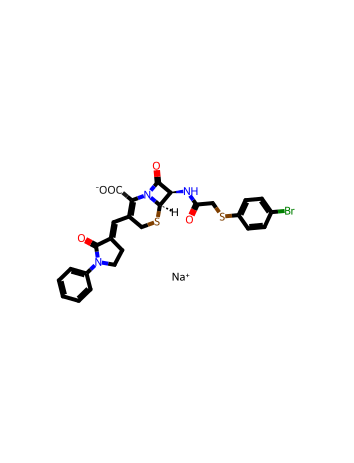 O=C(CSc1ccc(Br)cc1)N[C@@H]1C(=O)N2C(C(=O)[O-])=C(/C=C3\CCN(c4ccccc4)C3=O)CS[C@H]12.[Na+]